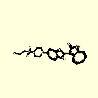 O=c1[nH]c2cccccc-2c1-c1nc2cc(N3CCN(S(=O)(=O)CCCl)CC3)ccc2[nH]1